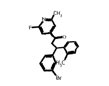 Cc1cc(C(=O)CC(c2cccc(Br)c2)c2ccccc2C)cc(F)n1